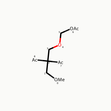 COCC(COCOC(C)=O)(C(C)=O)C(C)=O